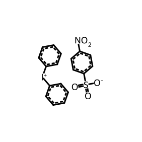 O=[N+]([O-])c1ccc(S(=O)(=O)[O-])cc1.c1ccc([I+]c2ccccc2)cc1